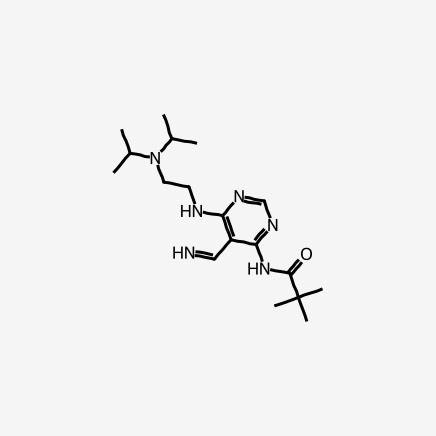 CC(C)N(CCNc1ncnc(NC(=O)C(C)(C)C)c1C=N)C(C)C